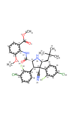 COC(=O)c1cccc(OC)c1NC(=O)[C@@H]1N[C@@H](CC(C)(C)C)[C@](C#N)(c2ccc(Cl)cc2F)[C@H]1c1cccc(Cl)c1F